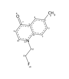 Cc1ccc2c(c1)c(=O)ccn2CCF